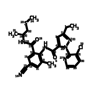 CCc1cc(C(=O)Nc2c(C)cc(C#N)cc2C(=O)N[C@@H](C)CSC)n(-c2ncccc2Cl)n1